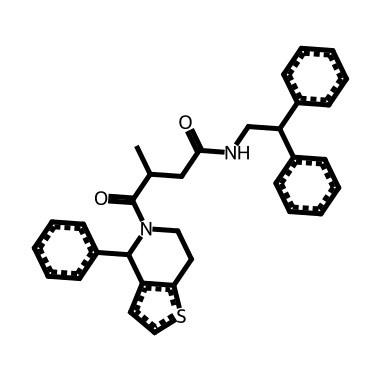 CC(CC(=O)NCC(c1ccccc1)c1ccccc1)C(=O)N1CCc2sccc2C1c1ccccc1